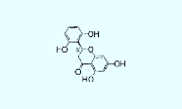 O=C1C[C@@H](c2c(O)cccc2O)Oc2cc(O)cc(O)c21